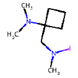 CN(I)CC1(N(C)C)CCC1